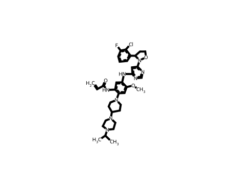 C=CC(=O)Nc1cc(Nc2cc(N3OCCC3c3cccc(F)c3Cl)ncn2)c(OC)cc1N1CCC(N2CCN(C(C)C)CC2)CC1